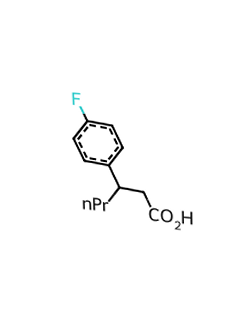 CCCC(CC(=O)O)c1ccc(F)cc1